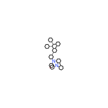 c1ccc(-c2c(-c3ccccc3)c3cc(-c4cccc(N(c5ccccc5)c5cccc6c7ccccc7n(-c7ccccc7)c56)c4)ccc3c3ccccc23)cc1